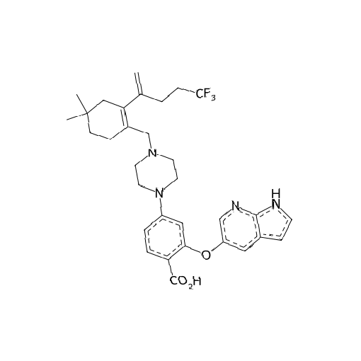 C=C(CCC(F)(F)F)C1=C(CN2CCN(c3ccc(C(=O)O)c(Oc4cnc5[nH]ccc5c4)c3)CC2)CCC(C)(C)C1